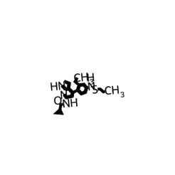 CCCSNc1ccc(-c2cc(NC(=O)C3CC3)nc3[nH]ccc23)c(CC)c1